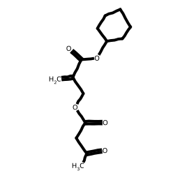 C=C(COC(=O)CC(C)=O)C(=O)OC1CCCCC1